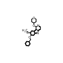 COc1cc2c(cc1OCc1ccccc1)=NC1=CC=NC(OC3CCOCC3)C=21